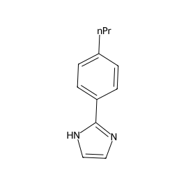 CCCc1ccc(-c2ncc[nH]2)cc1